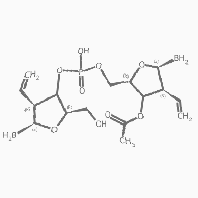 B[C@@H]1O[C@H](COP(=O)(O)OC2[C@@H](CO)O[C@@H](B)[C@H]2C=C)C(OC(C)=O)[C@@H]1C=C